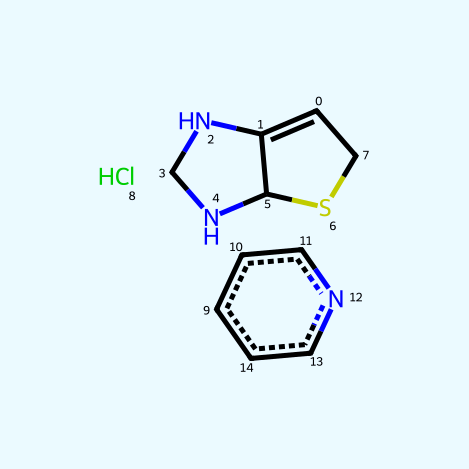 C1=C2NCNC2SC1.Cl.c1ccncc1